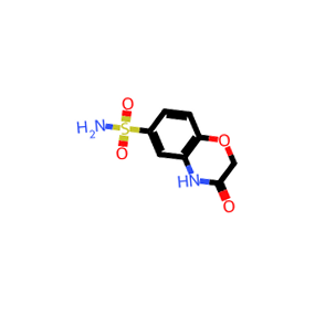 NS(=O)(=O)c1ccc2c(c1)NC(=O)CO2